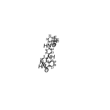 O=C(Nc1ccc(Nc2ccnc3[nH]c(=O)c4ccccc4c23)cc1)C1(C(F)(F)F)CCCC1